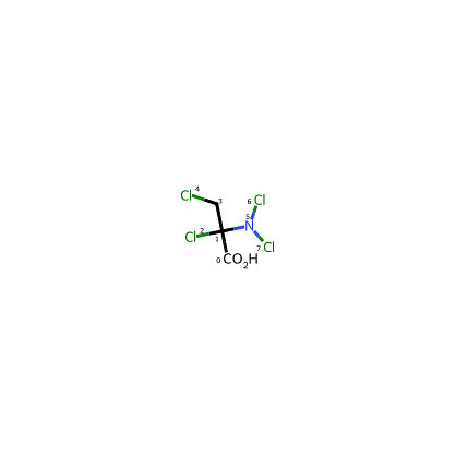 O=C(O)C(Cl)(CCl)N(Cl)Cl